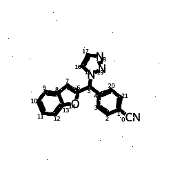 N#Cc1ccc(C(c2cc3ccccc3o2)n2ccnn2)cc1